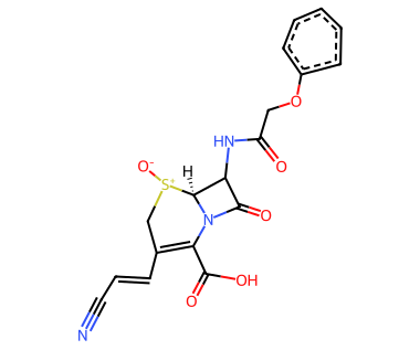 N#CC=CC1=C(C(=O)O)N2C(=O)C(NC(=O)COc3ccccc3)[C@@H]2[S+]([O-])C1